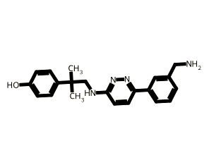 CC(C)(CNc1ccc(-c2cccc(CN)c2)nn1)c1ccc(O)cc1